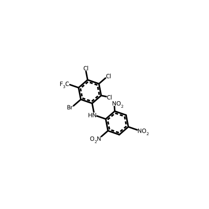 O=[N+]([O-])c1cc([N+](=O)[O-])c(Nc2c(Cl)c(Cl)c(Cl)c(C(F)(F)F)c2Br)c([N+](=O)[O-])c1